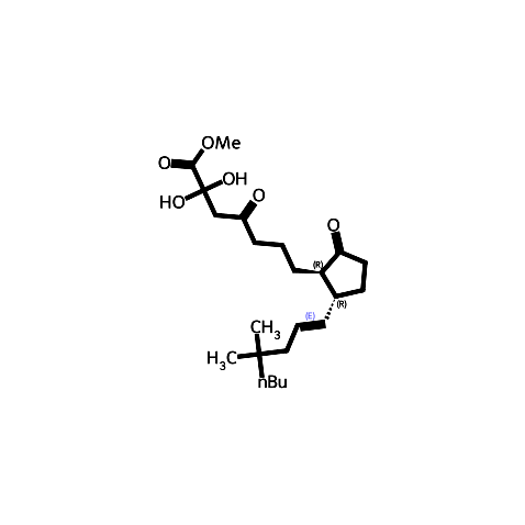 CCCCC(C)(C)C/C=C/[C@H]1CCC(=O)[C@@H]1CCCC(=O)CC(O)(O)C(=O)OC